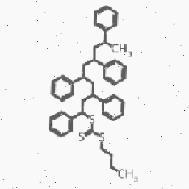 CCCCSC(=S)SC(CC(CC(CC(CC(C)c1ccccc1)c1ccccc1)c1ccccc1)c1ccccc1)c1ccccc1